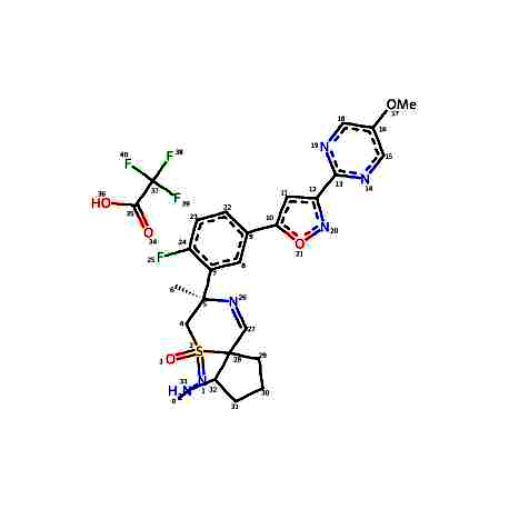 CN=S1(=O)C[C@@](C)(c2cc(-c3cc(-c4ncc(OC)cn4)no3)ccc2F)N=CC12CCCC2N.O=C(O)C(F)(F)F